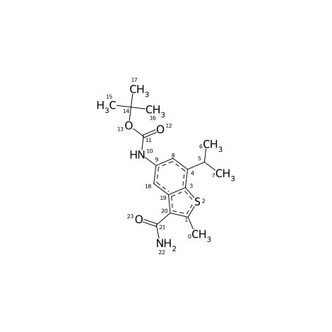 Cc1sc2c(C(C)C)cc(NC(=O)OC(C)(C)C)cc2c1C(N)=O